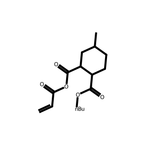 C=CC(=O)OC(=O)C1CC(C)CCC1C(=O)OCCCC